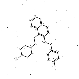 CN1CCN(CCc2c(OCc3ccc(F)cc3)ccc3ccccc23)CC1